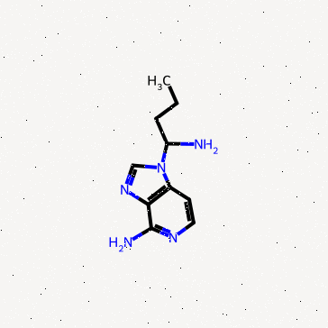 CCCC(N)n1cnc2c(N)nccc21